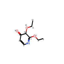 CCOC1=NC=CC(=O)C1OCC